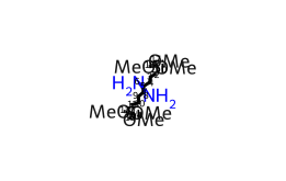 CO[Si](CCCC(N)C(N)CCC[Si](OC)(OC)OC)(OC)OC